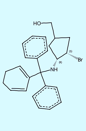 OCC1C[C@H](Br)[C@H](NC(C2=CCCC=C2)(c2ccccc2)c2ccccc2)C1